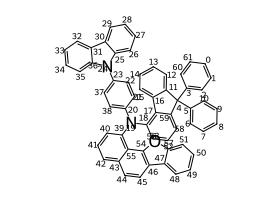 c1ccc(C2(c3ccccc3)c3ccccc3-c3c(N(c4ccc(-n5c6ccccc6c6ccccc65)cc4)c4cccc5ccc6c7ccccc7oc6c45)cccc32)cc1